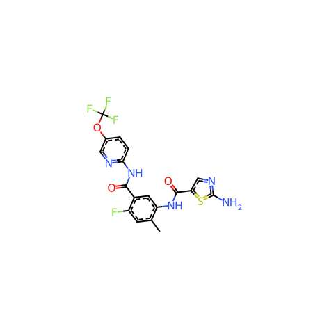 Cc1cc(F)c(C(=O)Nc2ccc(OC(F)(F)F)cn2)cc1NC(=O)c1cnc(N)s1